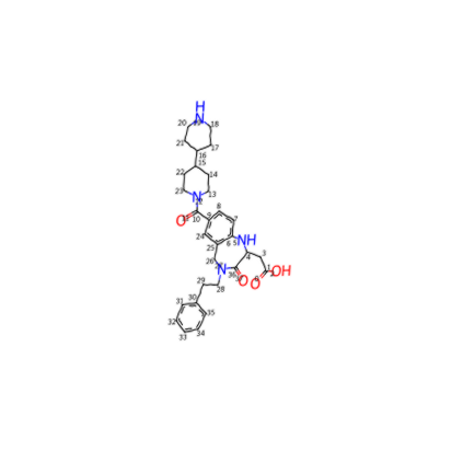 O=C(O)CC1Nc2ccc(C(=O)N3CCC(C4CCNCC4)CC3)cc2CN(CCc2ccccc2)C1=O